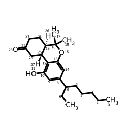 CCCCCC(CC)c1cc(O)c2c(c1)OC(C)(C)[C@@H]1CCC(=O)C[C@@H]21